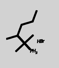 Br.CCCC(C)C(C)(C)P